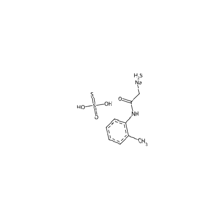 Cc1ccccc1NC(=O)[CH2][Na].O=S(O)(O)=S.S